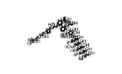 CC(C)(C)OCC(O)CO.CC(C)COCC(O)CO.CC(C)OCC(O)CO.CC(O)(CO)OC1C=CCCC1.CCCCC(CC)COCC(O)CO.CCCCCCCCOCC(O)CO.CCCCOCC(O)CO.CCCOCC(O)CO.CCOCC.CCOCC(O)CO.OCC(O)COC1C=CCCC1.OCC(O)COC1CCCC1